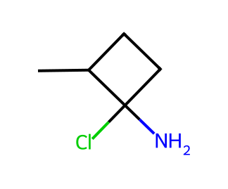 CC1CCC1(N)Cl